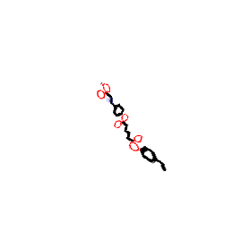 C=Cc1ccc(OC(=O)CCCCC(=O)Oc2ccc(/C=C/C(=O)OC)cc2)cc1